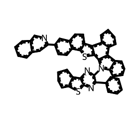 c1ccc(-c2nc3sc4ccccc4c3nc2-n2c3ccccc3c3c4ccccc4c4c5ccc6cc(-c7cc8ccccc8cn7)ccc6c5sc4c32)cc1